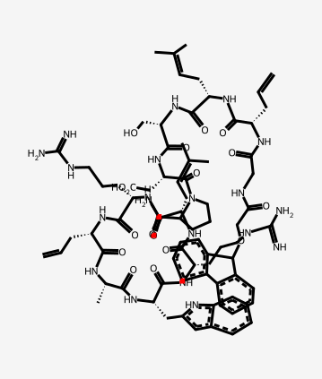 C=CC[C@H](NC(=O)CNC(=O)COC1c2ccccc2-c2ccccc21)C(=O)N[C@@H](CC=C(C)C)C(=O)N[C@@H](CO)C(=O)N[C@@H](CC(=O)O)C(=O)N1CCCC1C(=O)N[C@@H](CCCNC(=N)N)C(=O)N[C@@H](CC=C)C(=O)N[C@@H](C)C(=O)N[C@@H](Cc1cc2ccccc2[nH]1)C(=O)N[C@@H](CCCNC(=N)N)C(=O)N[C@@H](CC=C(C)C)C(N)=O